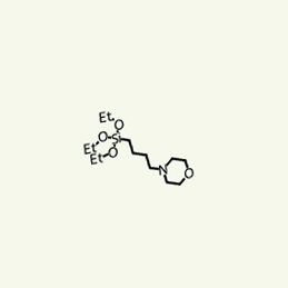 CCO[Si](CCCCN1CCOCC1)(OCC)OCC